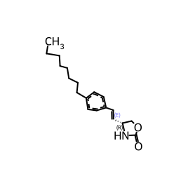 CCCCCCCCc1ccc(/C=C/[C@@H]2COC(=O)N2)cc1